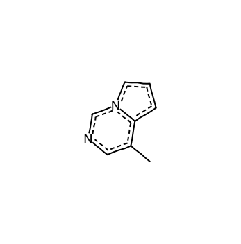 Cc1cncn2cccc12